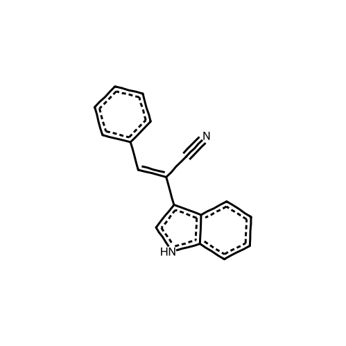 N#C/C(=C\c1ccccc1)c1c[nH]c2ccccc12